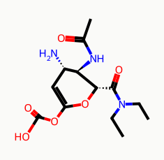 CCN(CC)C(=O)[C@@H]1OC(OC(=O)O)=C[C@H](N)[C@H]1NC(C)=O